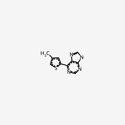 Cc1csc(-c2ncnc3c2N=C[N]3)c1